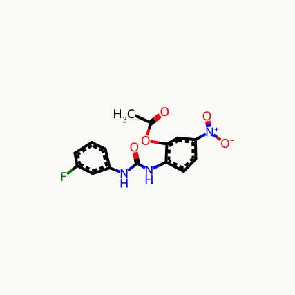 CC(=O)Oc1cc([N+](=O)[O-])ccc1NC(=O)Nc1cccc(F)c1